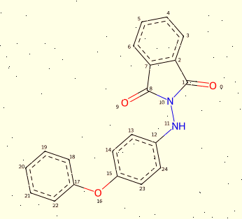 O=C1c2ccccc2C(=O)N1Nc1ccc(Oc2ccccc2)cc1